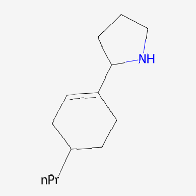 CCCC1CC=C(C2CCCN2)CC1